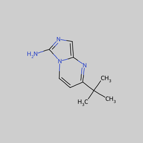 CC(C)(C)c1ccn2c(N)ncc2n1